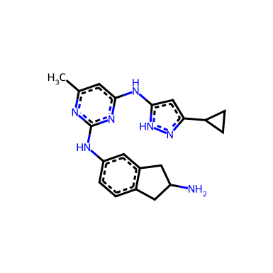 Cc1cc(Nc2cc(C3CC3)n[nH]2)nc(Nc2ccc3c(c2)CC(N)C3)n1